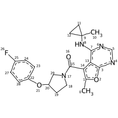 Cc1oc2ncnc(NC3(C)CC3)c2c1C(=O)N1CCC(Oc2ccc(F)cc2)C1